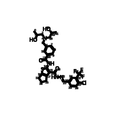 CC(O)CN(Cc1cccc(C(=O)Nc2sc3c(c2C(=O)NN=Cc2ccc(Cl)c(C(F)(F)F)c2)CCC3)c1)CC(C)O